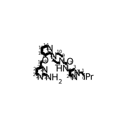 CC(C)Cn1cc(NC(=O)N2CCN(c3ncccc3OCc3ccnc(N)n3)CC2)cn1